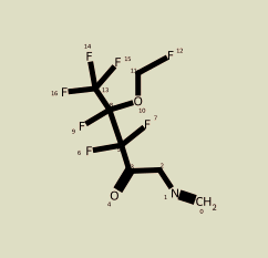 C=NCC(=O)C(F)(F)C(F)(OCF)C(F)(F)F